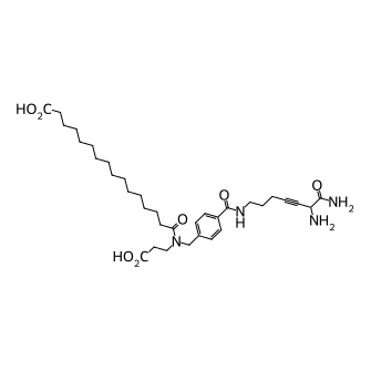 NC(=O)C(N)C#CCCCNC(=O)c1ccc(CN(CCC(=O)O)C(=O)CCCCCCCCCCCCCCC(=O)O)cc1